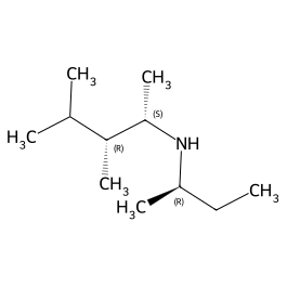 CC[C@@H](C)N[C@@H](C)[C@H](C)C(C)C